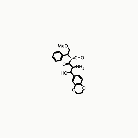 COCC(c1ccccc1)N(C=O)C(=O)C(N)C(O)c1ccc2c(c1)OCCO2